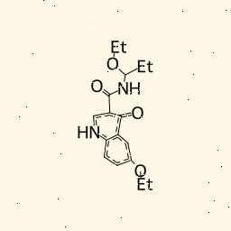 CCOc1ccc2[nH]cc(C(=O)NC(CC)OCC)c(=O)c2c1